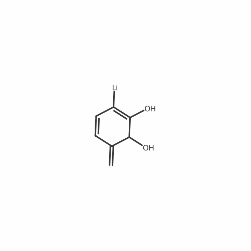 [Li][C]1=C(O)C(O)C(=C)C=C1